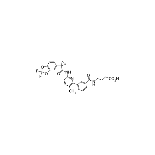 Cc1ccc(NC(=O)C2(c3ccc4c(c3)OC(F)(F)O4)CC2)nc1-c1cccc(C(=O)NCCCC(=O)O)c1